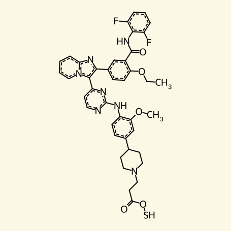 CCOc1ccc(-c2nc3ccccn3c2-c2ccnc(Nc3ccc(C4CCN(CCC(=O)OS)CC4)cc3OC)n2)cc1C(=O)Nc1c(F)cccc1F